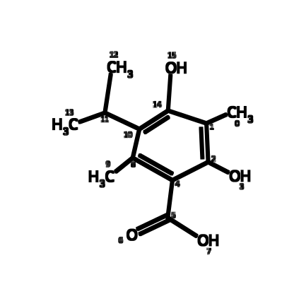 Cc1c(O)c(C(=O)O)c(C)c(C(C)C)c1O